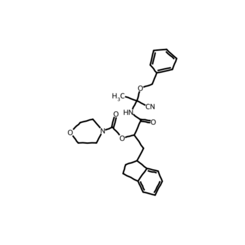 CC(C#N)(NC(=O)C(CC1CCc2ccccc21)OC(=O)N1CCOCC1)OCc1ccccc1